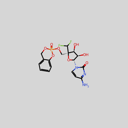 Nc1ccn([C@@H]2O[C@@](COP3(=O)OCc4ccccc4O3)(C(F)F)[C@@H](O)[C@H]2O)c(=O)n1